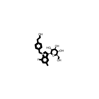 Cc1cc(F)c2c(c1)c([C@@H]1O[C@H](CO)[C@@H](O)[C@H](O)[C@H]1O)cn2Cc1ccc(CCO)cc1